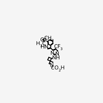 CP(C)(=O)c1cccc2c(-c3nc(NC4CCC45CN(C(=O)O)C5)ncc3C(F)(F)F)c[nH]c12